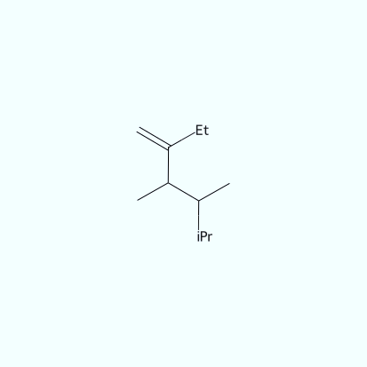 C=C(CC)C(C)C(C)C(C)C